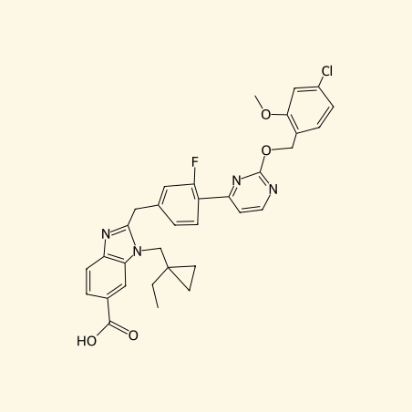 CCC1(Cn2c(Cc3ccc(-c4ccnc(OCc5ccc(Cl)cc5OC)n4)c(F)c3)nc3ccc(C(=O)O)cc32)CC1